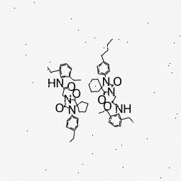 CCCCc1ccc(N2C(=O)N(CC(=O)Nc3c(CC)cccc3CC)C(=O)C23CCCCC3)cc1.CCc1ccc(N2C(=O)N(CC(=O)Nc3c(CC)cccc3CC)C(=O)C23CCCC3)cc1